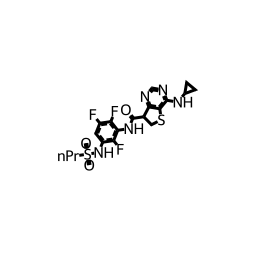 CCCS(=O)(=O)Nc1cc(F)c(F)c(NC(=O)C2CSc3c(NC4CC4)ncnc32)c1F